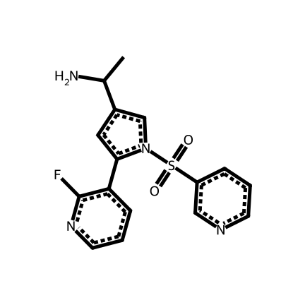 CC(N)c1cc(-c2cccnc2F)n(S(=O)(=O)c2cccnc2)c1